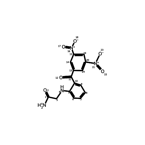 NC(=O)CNc1ccccc1C(=O)c1cc([N+](=O)[O-])cc([N+](=O)[O-])c1